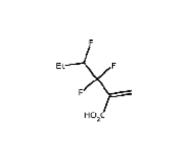 C=C(C(=O)O)C(F)(F)C(F)CC